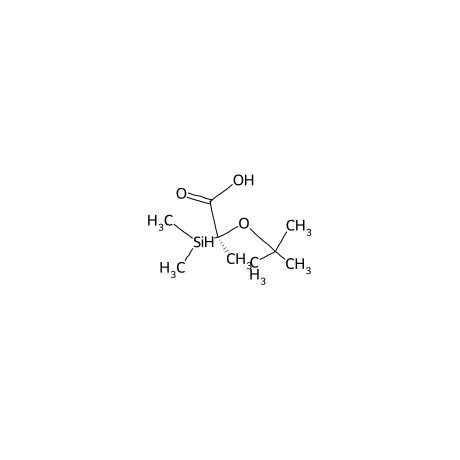 C[SiH](C)[C@](C)(OC(C)(C)C)C(=O)O